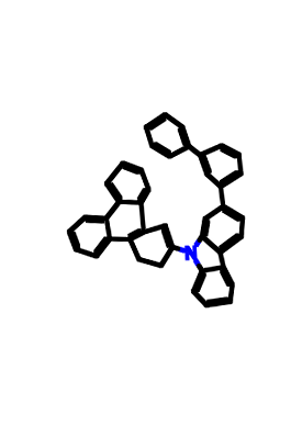 C1=C(n2c3ccccc3c3ccc(-c4cccc(-c5ccccc5)c4)cc32)CCc2c1c1ccccc1c1ccccc21